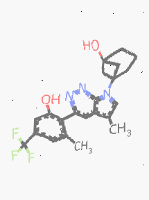 Cc1cc(C(F)(F)F)cc(O)c1-c1cc2c(C)cn(C34CCCC(O)(C3)C4)c2nn1